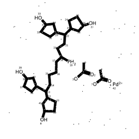 CC(=O)[O-].CC(=O)[O-].OC1CCC(C(CCCCC(P)CCC(C2CCC(O)C2)C2CCC(O)C2)C2CCC(O)C2)C1.[Pd+2]